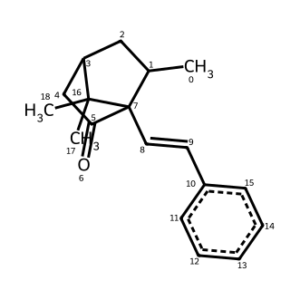 CC1CC2CC(=O)C1(C=Cc1ccccc1)C2(C)C